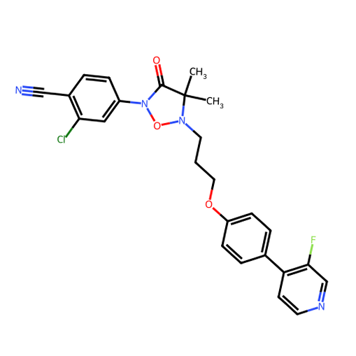 CC1(C)C(=O)N(c2ccc(C#N)c(Cl)c2)ON1CCCOc1ccc(-c2ccncc2F)cc1